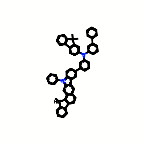 C[SiH]1c2ccccc2-c2ccc3cc4c5cc(-c6cccc(N(c7cccc(-c8ccccc8)c7)c7ccc8c(c7)C(C)(C)c7ccccc7-8)c6)ccc5n(-c5ccccc5)c4cc3c21